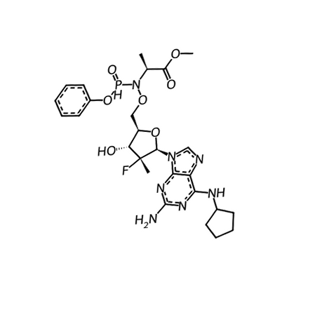 COC(=O)[C@H](C)N(OC[C@H]1O[C@@H](n2cnc3c(NC4CCCC4)nc(N)nc32)[C@](C)(F)[C@@H]1O)[PH](=O)Oc1ccccc1